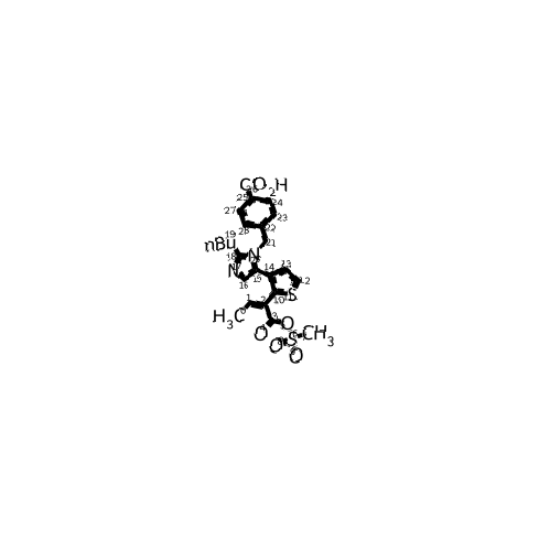 CC=C(C(=O)OS(C)(=O)=O)c1sccc1-c1cnc(CCCC)n1Cc1ccc(C(=O)O)cc1